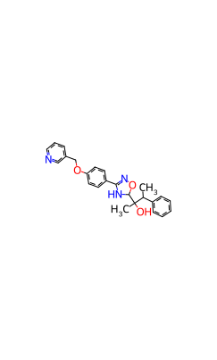 CC(c1ccccc1)C(C)(O)C1NC(c2ccc(OCc3cccnc3)cc2)=NO1